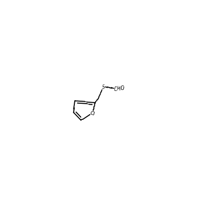 O=CSc1ccco1